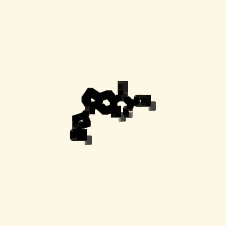 CC(C)Nc1ccc2c(ccn2C2CN(C)C2)c1